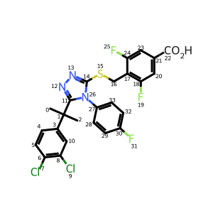 CC(C)(c1ccc(Cl)c(Cl)c1)c1nnc(SCc2c(F)cc(C(=O)O)cc2F)n1-c1ccc(F)cc1